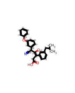 CC(C)Cc1cccc2c(CC(=O)O)c(C(C#N)c3cccc(Oc4ccccc4)c3)oc12